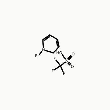 CCN1C=CC=CC1.O=S(=O)(O)C(F)(F)F